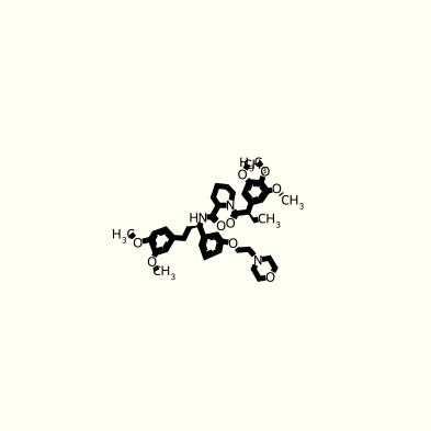 CC[C@@H](C(=O)N1CCCCC1C(=O)N[C@H](CCc1ccc(OC)c(OC)c1)c1cccc(OCCN2CCOCC2)c1)c1cc(OC)c(OC)c(OC)c1